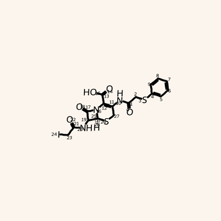 O=C(CSc1ccccc1)NC1=C(C(=O)O)N2C(=O)C(NC(=O)CI)[C@@H]2SC1